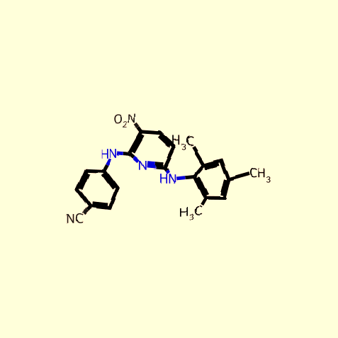 Cc1cc(C)c(Nc2ccc([N+](=O)[O-])c(Nc3ccc(C#N)cc3)n2)c(C)c1